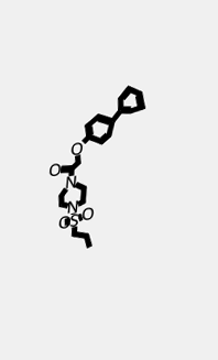 CCCS(=O)(=O)N1CCN(C(=O)COc2ccc(-c3ccccc3)cc2)CC1